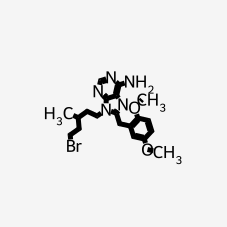 COc1ccc(OC)c(Cc2nc3c(N)ncnc3n2CCC(C)CCBr)c1